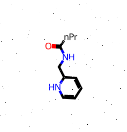 CCCC(=O)NCC1C=CC=CN1